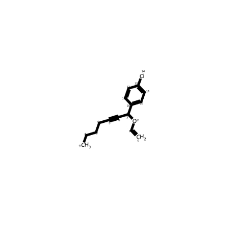 C=COC(C#CCCCC)c1ccc(Cl)cc1